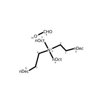 CCCCCCCCCCCC[N+](CCCCCCCC)(CCCCCCCC)CCCCCCCCCCCC.O=C[O-]